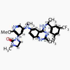 COc1ncc(N(C)c2ccc3nc(C)nc(NC(C)c4cc([N+](=O)[O-])cc(C(F)(F)F)c4)c3c2)cc1N1CCN(C)C1=O